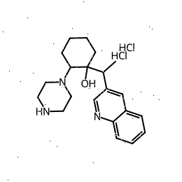 CC(c1cnc2ccccc2c1)C1(O)CCCCC1N1CCNCC1.Cl.Cl